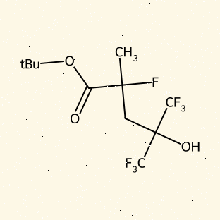 CC(C)(C)OC(=O)C(C)(F)CC(O)(C(F)(F)F)C(F)(F)F